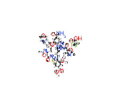 CCc1nc(C)oc1C(=O)/N=c1\sc2cc(C(=O)OC)cc(OC)c2n1C/C=C/Cn1c(NC(=O)c2oc(C)nc2CC)nc2cc(C(N)=O)cc(OCCCN3CCOCC3)c21.O=C(O)C(F)(F)F